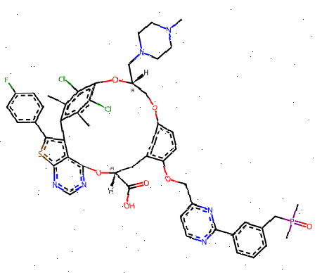 Cc1c(Cl)c2c(Cl)c(C)c1-c1c(-c3ccc(F)cc3)sc3ncnc(c13)O[C@@H](C(=O)O)Cc1cc(ccc1OCc1ccnc(-c3cccc(CP(C)(C)=O)c3)n1)OC[C@@H](CN1CCN(C)CC1)O2